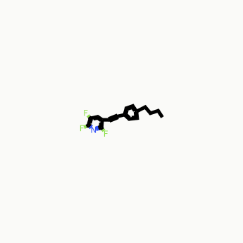 CCCCc1ccc(C#Cc2cc(F)c(F)nc2F)cc1